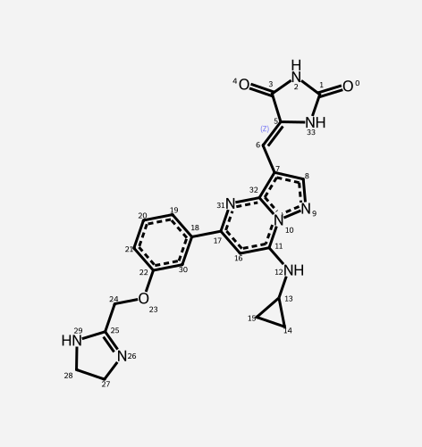 O=C1NC(=O)/C(=C/c2cnn3c(NC4CC4)cc(-c4cccc(OCC5=NCCN5)c4)nc23)N1